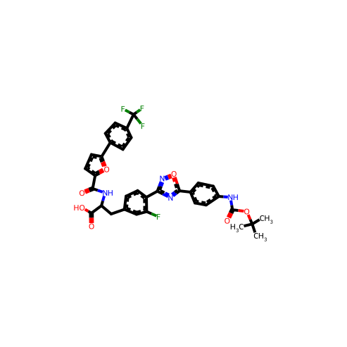 CC(C)(C)OC(=O)Nc1ccc(-c2nc(-c3ccc(CC(NC(=O)c4ccc(-c5ccc(C(F)(F)F)cc5)o4)C(=O)O)cc3F)no2)cc1